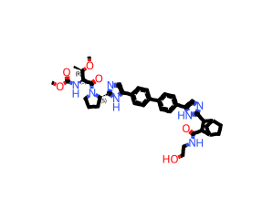 COC(=O)N[C@H](C(=O)N1CCC[C@H]1c1ncc(-c2ccc(-c3ccc(-c4cnc(C5C6CCC(C6)C5C(=O)NCCO)[nH]4)cc3)cc2)[nH]1)[C@@H](C)OC